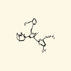 Nc1cc(O)nc(-c2cc(-c3ccon3)n(Cc3ccccc3F)n2)n1